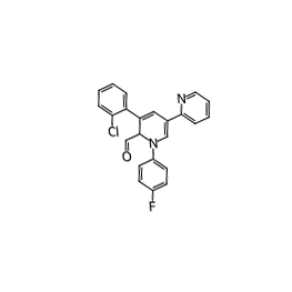 O=CC1C(c2ccccc2Cl)=CC(c2ccccn2)=CN1c1ccc(F)cc1